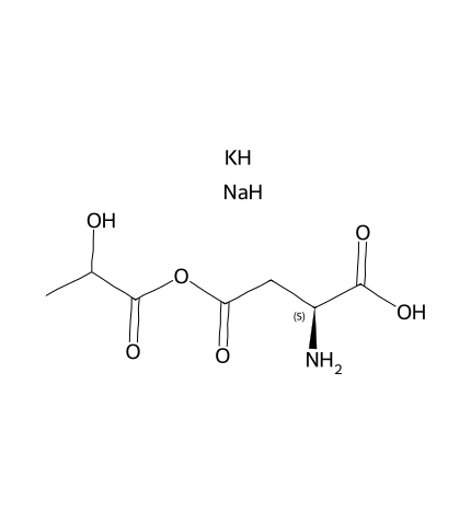 CC(O)C(=O)OC(=O)C[C@H](N)C(=O)O.[KH].[NaH]